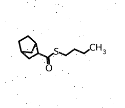 CCCCSC(=O)C1CC2CCC1C2